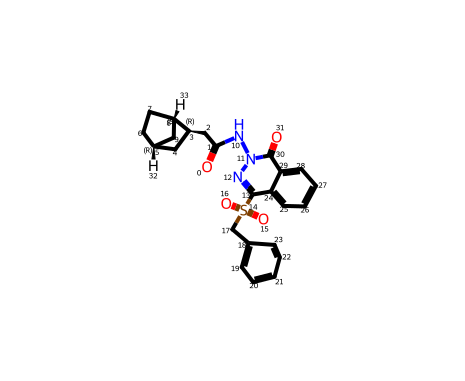 O=C(C[C@H]1C[C@@H]2CC[C@H]1C2)Nn1nc(S(=O)(=O)Cc2ccccc2)c2ccccc2c1=O